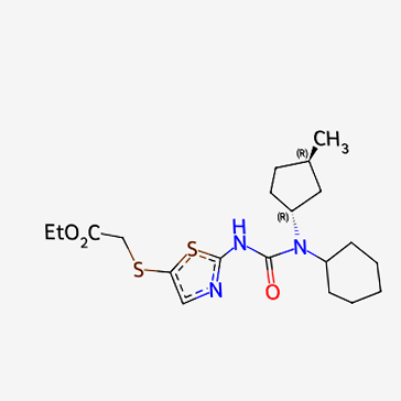 CCOC(=O)CSc1cnc(NC(=O)N(C2CCCCC2)[C@@H]2CC[C@@H](C)C2)s1